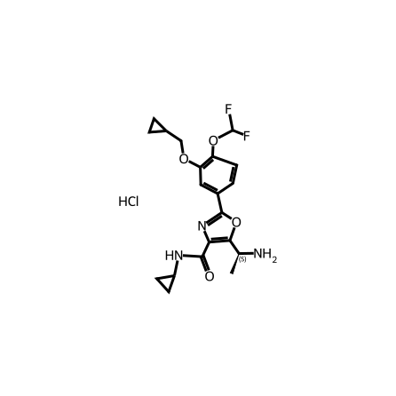 C[C@H](N)c1oc(-c2ccc(OC(F)F)c(OCC3CC3)c2)nc1C(=O)NC1CC1.Cl